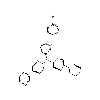 C=Cc1ccc(Oc2cccc(N(C3C=CC(C4=CCCC=C4)=CC3)C3C=CC(c4ccccc4)=CC3)c2)cc1